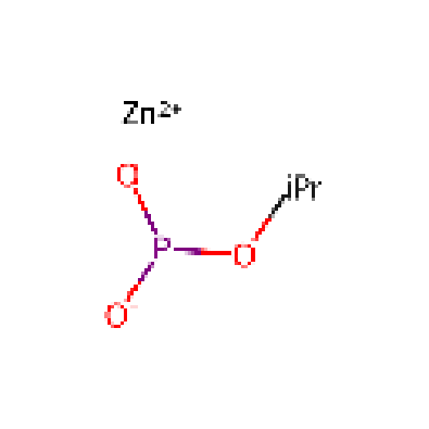 CC(C)OP([O-])[O-].[Zn+2]